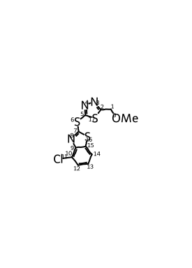 COCc1nnc(Sc2nc3c(Cl)cccc3s2)s1